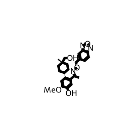 COc1cc([C@H]2CC[C@@](C)(CO)CC2)c(C(C)=NOCc2ccc3nonc3c2)cc1O